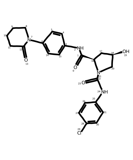 O=C(Nc1ccc(N2CCCCC2=O)cc1)[C@H]1C[C@@H](O)CN1C(=O)Nc1ccc(Cl)cc1